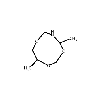 CC1NCCC[C@H](C)OCO1